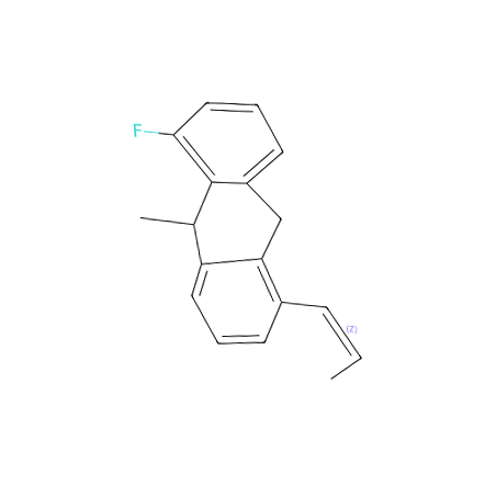 C/C=C\c1cccc2c1Cc1cccc(F)c1C2C